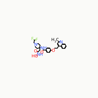 Cc1cc(CCOc2ccc(C(=O)NC3(CC(=O)NO)CCN(CC(F)F)CC3)cc2)c2ccccc2n1